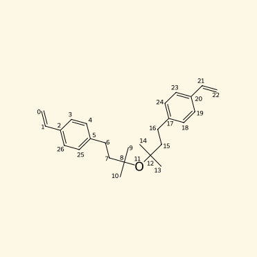 C=Cc1ccc(CCC(C)(C)OC(C)(C)CCc2ccc(C=C)cc2)cc1